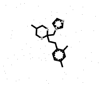 Cc1ccc(CCC2(Cn3ccnc3)SCC(C)CS2)c(C)c1